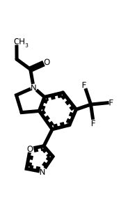 CCC(=O)N1CCc2c(-c3cnco3)cc(C(F)(F)F)cc21